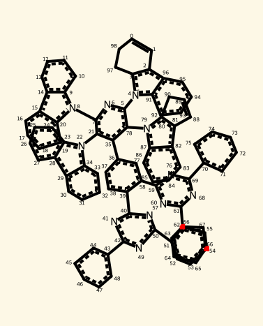 C1=Cc2c(n(-c3nc(-n4c5ccccc5c5ccccc54)c(-n4c5ccccc5c5ccccc54)c(-c4ccc(-c5nc(-c6ccccc6)nc(-c6ccccc6)n5)c(-c5nc(-c6ccccc6)nc(-c6ccccc6)n5)c4)c3-n3c4c(c5ccccc53)C=CC4)c3ccccc23)CC1